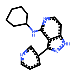 c1cncc(-c2n[nH]c3ccnc(NC4CCCCC4)c23)c1